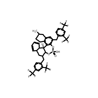 CC1CCc2c(cc(Cc3ccc(C(F)(F)F)cc3C(F)(F)F)c3c2[C@H]2C4C=CC=CC4CC(Cc4ccc(C(F)(F)F)cc4C(F)(F)F)C2OP(=O)(O)O3)C1